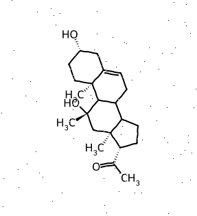 CC(=O)[C@H]1CCC2C3CC=C4C[C@@H](O)CC[C@]4(C)C3[C@@](C)(O)C[C@@]21C